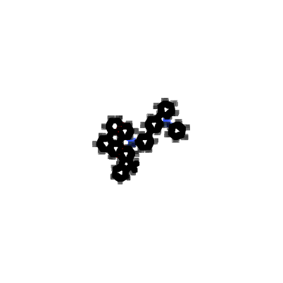 CC1(C)c2ccccc2-c2ccc(N(c3cccc(-c4ccc5c6ccccc6n(-c6ccccc6)c5c4)c3)c3ccccc3-c3cccc4cccc(C5CCCCC5)c34)cc21